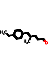 CCc1ccc(/C=C(C)/C=C/C=O)cc1